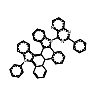 C1=CC2=c3c(c4ccccc4n3-c3ccccc3)=C3c4c(n(-c5nc(-c6ccccc6)nc6cccnc56)c5ccccc45)-c4ccccc4C3C2C=C1